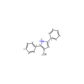 N#Cc1cc(-c2ccccc2)[nH]c1-c1ccccc1